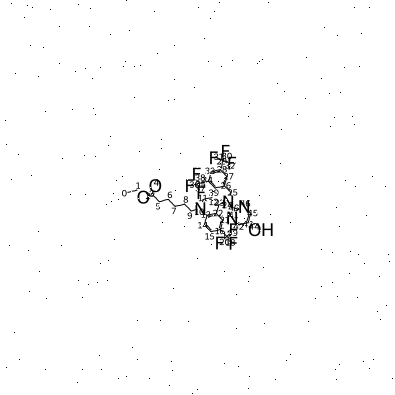 CCOC(=O)CCCCCN(CC)c1ccc(C(F)(F)F)cc1CN(Cc1cc(C(F)(F)F)cc(C(F)(F)F)c1)c1ncc(O)cn1